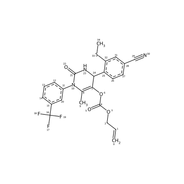 C=CCOC(=O)OC1=C(C)N(c2cccc(C(F)(F)F)c2)C(=O)NC1c1ccc(C#N)cc1SC